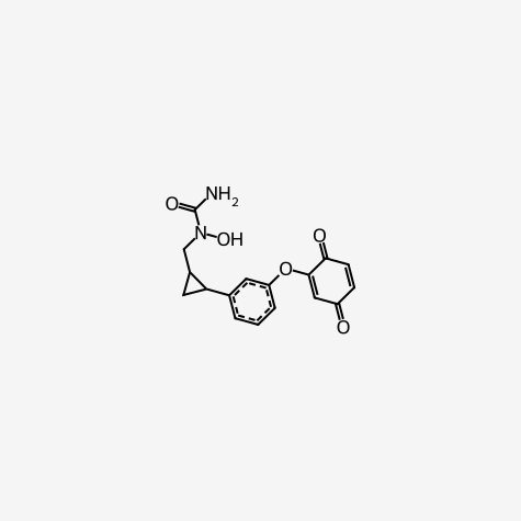 NC(=O)N(O)CC1CC1c1cccc(OC2=CC(=O)C=CC2=O)c1